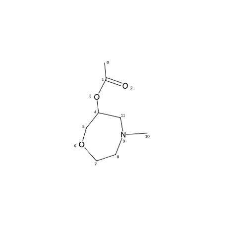 CC(=O)OC1COCCN(C)C1